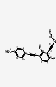 CCCCc1ccc(C#Cc2ccc(F)c(C#CN=C=S)c2F)cc1